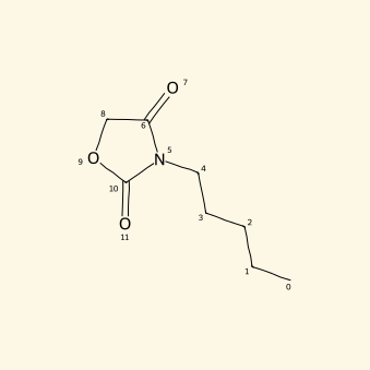 CCCCCN1C(=O)COC1=O